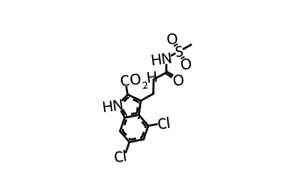 CS(=O)(=O)NC(=O)CCc1c(C(=O)O)[nH]c2cc(Cl)cc(Cl)c12